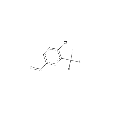 O=[C]c1ccc(Cl)c(C(F)(F)F)c1